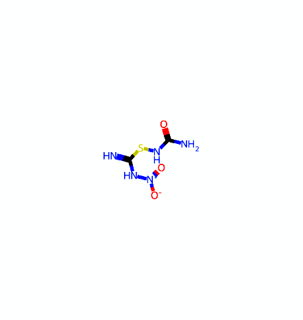 N=C(N[N+](=O)[O-])SNC(N)=O